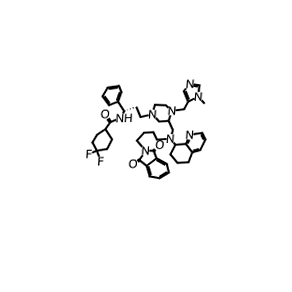 Cn1cncc1CN1CCN(CC[C@H](NC(=O)C2CCC(F)(F)CC2)c2ccccc2)CC1CN(CCCCN1C(=O)c2ccccc2C1=O)C1CCCc2cccnc21